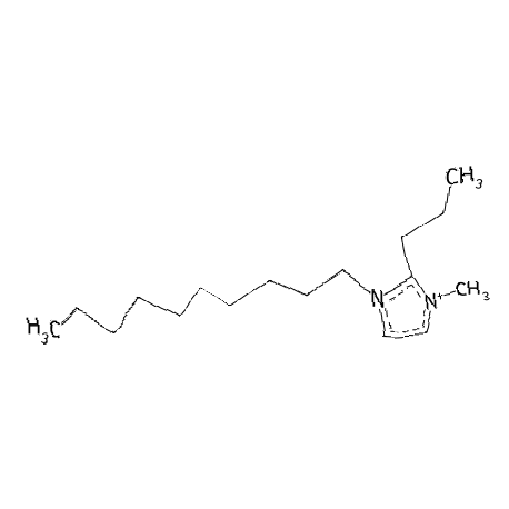 CCCCCCCCCCn1cc[n+](C)c1CCC